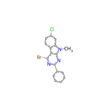 Cn1c2cc(Cl)ccc2c2c(Br)nc(-c3ccccc3)nc21